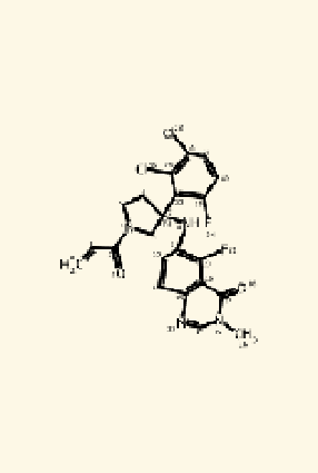 C=CC(=O)N1CC[C@](Nc2ccc3ncn(C)c(=O)c3c2F)(c2c(F)ccc(Cl)c2Cl)C1